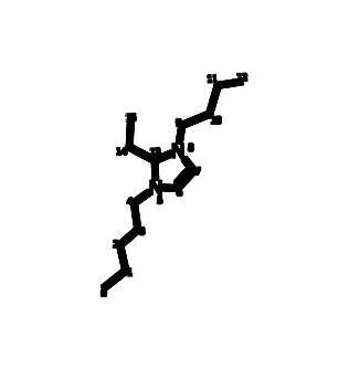 CCCCCN1C=CN(CCCC)C1CC